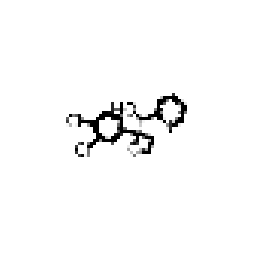 OC(c1ccccn1)[C@]1(c2ccc(Cl)c(Cl)c2)CCO1